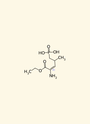 CCOC(=O)/C(N)=C\C(C)CP(=O)(O)O